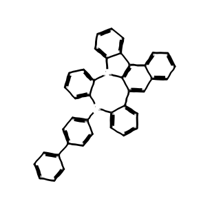 c1ccc(-c2ccc(-n3c4ccccc4c4cc5ccccc5c5c6ccccc6n(c6ccccc63)c45)cc2)cc1